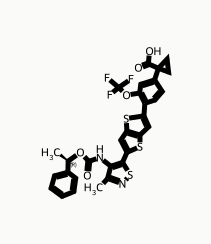 Cc1nsc(-c2cc3sc(-c4ccc(C5(C(=O)O)CC5)cc4OC(F)(F)F)cc3s2)c1NC(=O)O[C@H](C)c1ccccc1